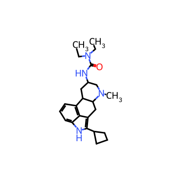 CCN(CC)C(=O)NC1CC2c3cccc4[nH]c(C5CCC5)c(c34)CC2N(C)C1